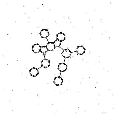 c1ccc(-c2ccc(-c3nc(-c4ccccc4)nc(-n4c5ccccc5c5c(-c6ccccc6)c6c7ccccc7n(-c7cccc(-c8ccccc8)c7)c6cc54)n3)cc2)cc1